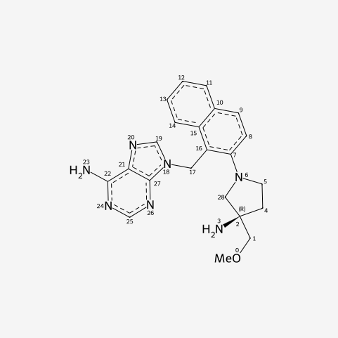 COC[C@@]1(N)CCN(c2ccc3ccccc3c2Cn2cnc3c(N)ncnc32)C1